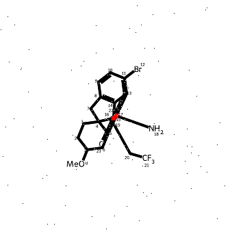 COC1CCC2(CC1)Cc1ccc(Br)cc1C21N=C(N)N(CC(F)(F)F)C1=O